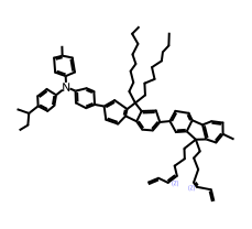 C=C/C=C\CCCC1(CCC/C=C\C=C)c2cc(C)ccc2-c2ccc(-c3ccc4c(c3)C(CCCCCCCC)(CCCCCCCC)c3cc(-c5ccc(N(c6ccc(C)cc6)c6ccc(C(C)CC)cc6)cc5)ccc3-4)cc21